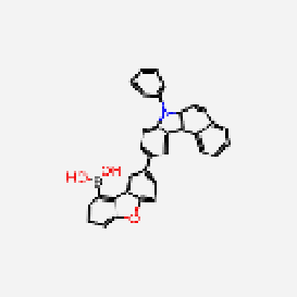 OB(O)c1cccc2oc3ccc(-c4ccc5c(c4)c4c6ccccc6ccc4n5-c4ccccc4)cc3c12